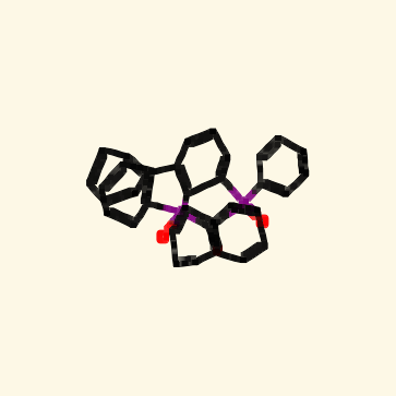 O=P(c1ccccc1)(c1ccccc1)c1cccc(-c2ccccc2)c1P(=O)(c1ccccc1)c1ccccc1